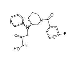 O=C(Cn1c2c(c3ccccc31)CCN(C(=O)c1cccc(F)c1)C2)NO